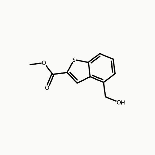 COC(=O)c1cc2c(CO)cccc2s1